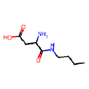 CCCCNC(=O)C(N)CC(=O)O